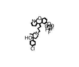 CC1CN(CCC=C2c3cc(OS(=O)(=O)C(F)(F)F)ccc3OCc3ncccc32)CCC1(O)c1ccc(Cl)cc1